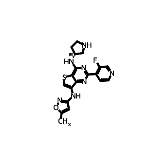 Cc1cc(Nc2csc3c(N[C@@H]4CCNC4)nc(-c4ccncc4F)nc23)no1